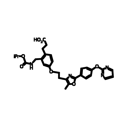 Cc1oc(-c2ccc(Oc3ncccn3)cc2)nc1CCOc1ccc(CCC(=O)O)c(CNC(=O)OC(C)C)c1